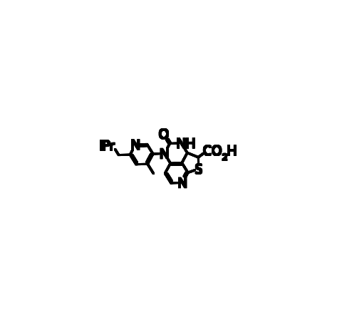 Cc1cc(CC(C)C)ncc1N1C(=O)NC2c3c1ccnc3SC2C(=O)O